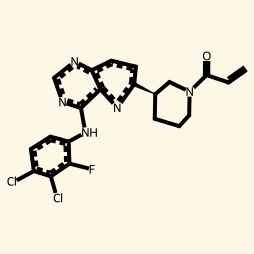 C=CC(=O)N1CCC[C@@H](c2ccc3ncnc(Nc4ccc(Cl)c(Cl)c4F)c3n2)C1